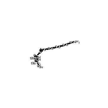 CC(C)(C)OC(=O)CC[C@H](NC(=O)N[C@@H](CCCCn1cc(COCCOCCOCCOCCOCCOCCOCCOCCN)nn1)C(=O)OC(C)(C)C)C(=O)OC(C)(C)C